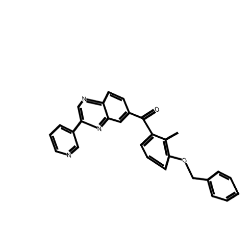 Cc1c(OCc2ccccc2)cccc1C(=O)c1ccc2ncc(-c3cccnc3)nc2c1